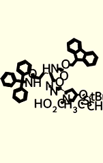 CC(C)(C)[Si](C)(C)O[C@@H]1C[C@@H](c2nnc([C@H](CCC(=O)NC(c3ccccc3)(c3ccccc3)c3ccccc3)NC(=O)OCC3c4ccccc4-c4ccccc43)o2)N(C(=O)O)C1